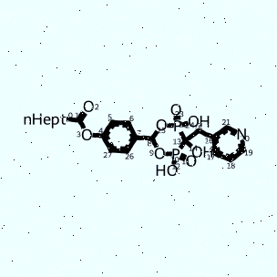 CCCCCCCC(=O)Oc1ccc(C2OP(=O)(O)C(O)(Cc3cccnc3)P(=O)(O)O2)cc1